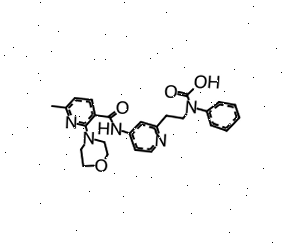 Cc1ccc(C(=O)Nc2ccnc(CCN(C(=O)O)c3ccccc3)c2)c(N2CCOCC2)n1